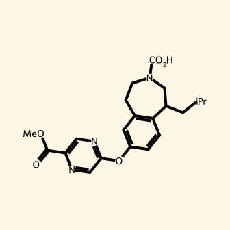 COC(=O)c1cnc(Oc2ccc3c(c2)CCN(C(=O)O)CC3CC(C)C)cn1